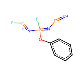 N=PN=P(F)(/N=P/F)Oc1ccccc1